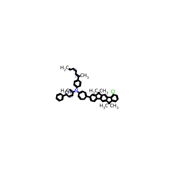 C=C/C=C\C=C(/C)c1ccc(N(C2=CC=C(c3ccc4c(c3)C(C)(C)c3cc5c(cc3-4)C(C)(C)c3cccc(Cl)c3-5)CC=C2)C(/C=C\C(=C)c2ccccc2)=C/C)cc1